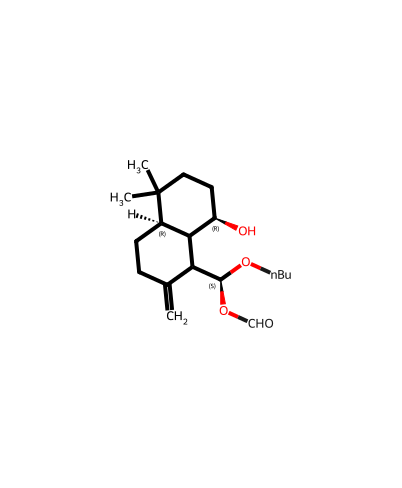 C=C1CC[C@@H]2C(C1[C@H](OC=O)OCCCC)[C@H](O)CCC2(C)C